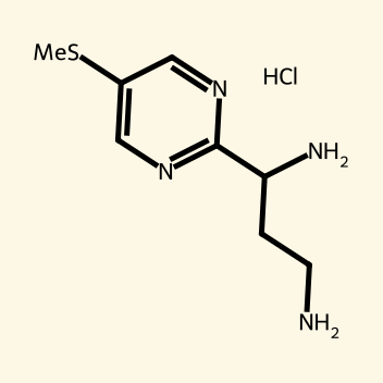 CSc1cnc(C(N)CCN)nc1.Cl